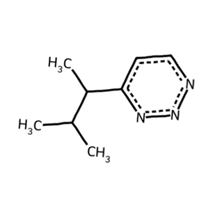 CC(C)C(C)c1ccnnn1